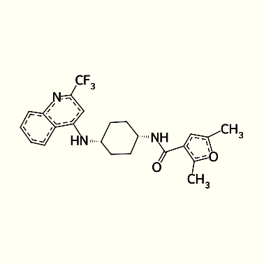 Cc1cc(C(=O)N[C@H]2CC[C@@H](Nc3cc(C(F)(F)F)nc4ccccc34)CC2)c(C)o1